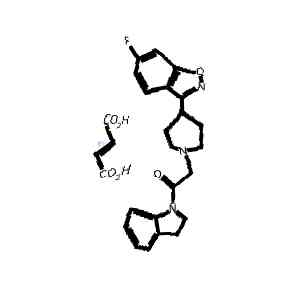 O=C(CN1CCC(c2noc3cc(F)ccc23)CC1)N1CCc2ccccc21.O=C(O)/C=C/C(=O)O